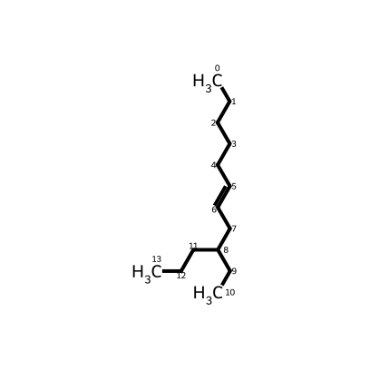 CCCCCC=CCC(CC)CCC